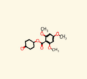 COc1cc(OC)c(C(=O)OC2CCC(=O)CC2)c(OC)c1